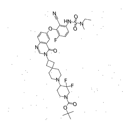 CCN(C)S(=O)(=O)Nc1ccc(F)c(Oc2ccc3ncn(C4CC5(CCN(C6CCN(C(=O)OC(C)(C)C)CC6(F)F)CC5)C4)c(=O)c3c2)c1C#N